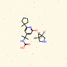 CC1(c2cc(C(C)(C)NC(=O)O)cc(O[C@@H]3[C@@H]4CNC[C@@H]43)n2)CCCC1